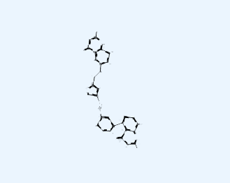 O=C(O)c1cc(=O)c2cc(CCc3cc(/N=N/c4cccc(-c5cccc6oc(C(=O)O)cc(=O)c56)c4)cs3)ccc2o1